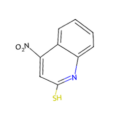 O=[N+]([O-])c1cc(S)nc2ccccc12